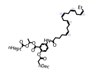 CC/C=C\C/C=C\C/C=C\C/C=C\C/C=C\CCCC(=O)Nc1ccc(OC(=O)CCCCCCCCCCC)c(C(=O)OC(C)OC(=O)CCCCCCC)c1